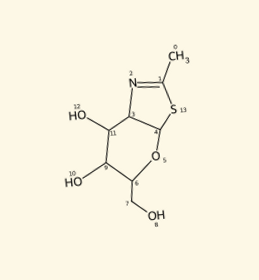 CC1=NC2C(OC(CO)C(O)C2O)S1